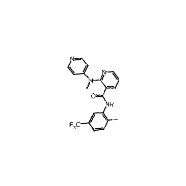 Cc1ccc(C(F)(F)F)cc1NC(=O)c1cccnc1N(C)c1ccncc1